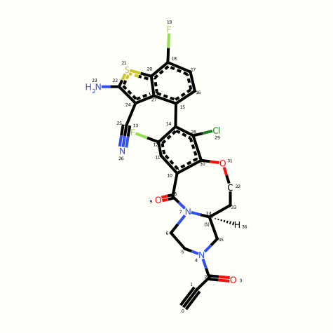 C#CC(=O)N1CCN2C(=O)c3cc(F)c(-c4ccc(F)c5sc(N)c(C#N)c45)c(Cl)c3OCC[C@H]2C1